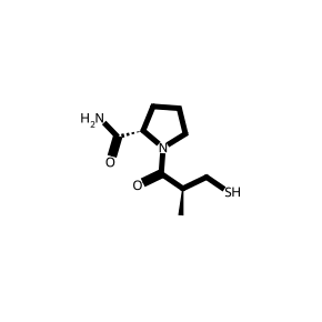 C[C@H](CS)C(=O)N1CCC[C@H]1C(N)=O